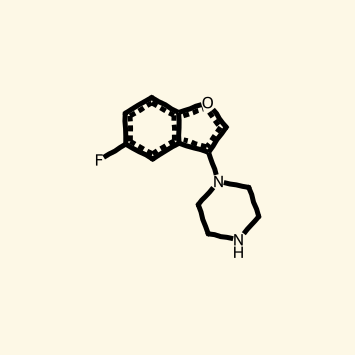 Fc1ccc2occ(N3CCNCC3)c2c1